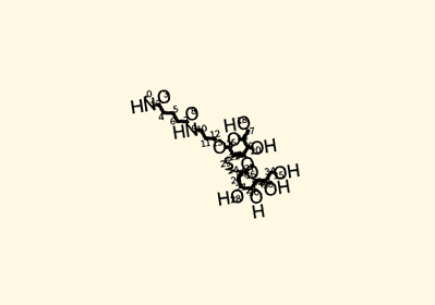 CNC(=O)CCCC(=O)NCCCOC1OC(CO)C(O)C2=C1SC[C@]1(CC(O)C(O)[C@@H]([C@H](O)CO)O1)O2